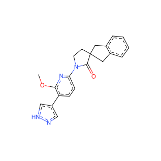 COc1nc(N2CCC3(Cc4ccccc4C3)C2=O)ccc1-c1cn[nH]c1